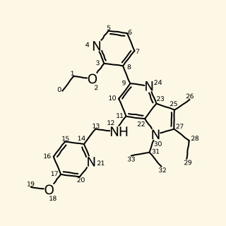 CCOc1ncccc1-c1cc(NCc2ccc(OC)cn2)c2c(n1)c(C)c(CC)n2C(C)C